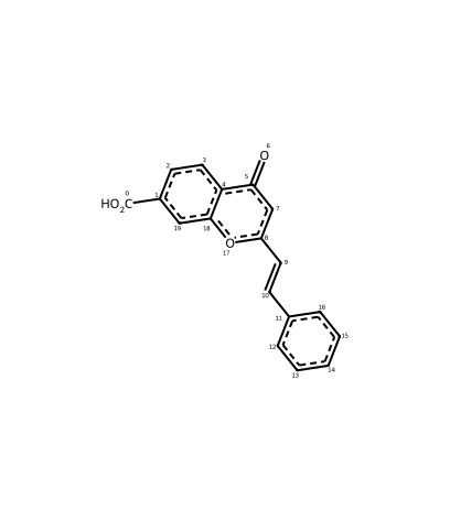 O=C(O)c1ccc2c(=O)cc(C=Cc3ccccc3)oc2c1